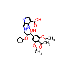 CCOc1cc(C(O)C(Cn2cc3nccc(C(=O)O)c3n2)OC2CCCC2)cc(OCC)c1C(C)=O